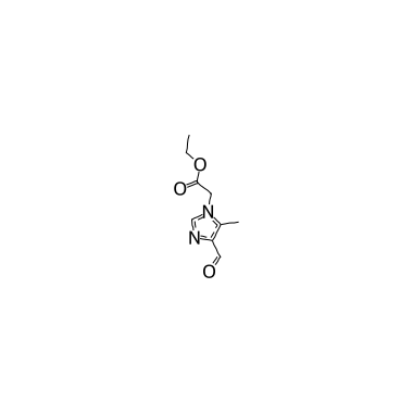 CCOC(=O)Cn1cnc(C=O)c1C